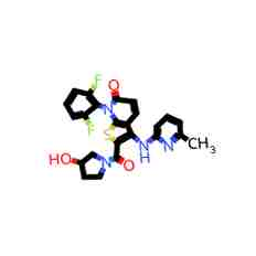 Cc1cccc(Nc2c(C(=O)N3CCC(O)C3)sc3c2ccc(=O)n3-c2c(F)cccc2F)n1